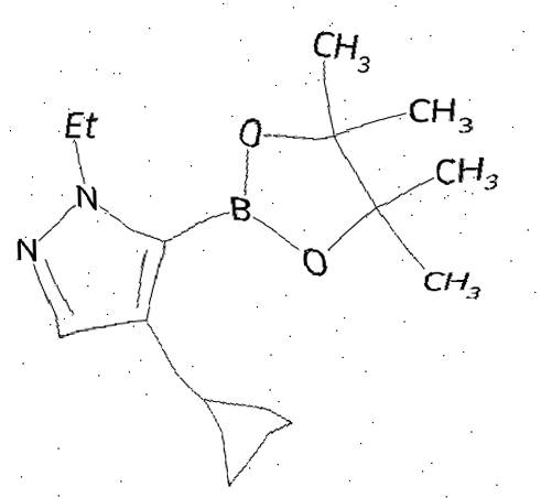 CCn1ncc(C2CC2)c1B1OC(C)(C)C(C)(C)O1